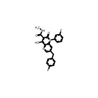 CNC(=O)c1c(O)c2ncc(Cc3ccc(F)cc3)cc2n(-c2cccc(F)c2)c1=O